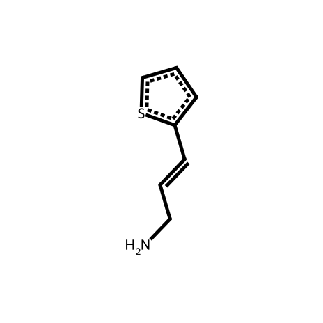 NCC=Cc1cccs1